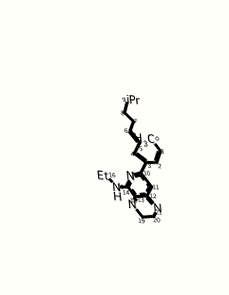 C\C=C/C(=C\C=C\CCC(C)C)c1cc2c(c(NCC)n1)=NCCN=2